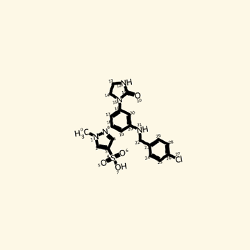 Cn1cc(S(=O)(=O)O)cn1.O=C1NCCN1c1cccc(NCc2ccc(Cl)cc2)c1